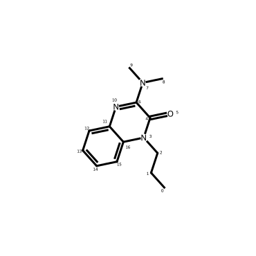 CCCn1c(=O)c(N(C)C)nc2ccccc21